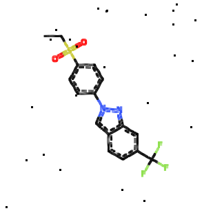 CCS(=O)(=O)c1ccc(-n2cc3ccc(C(F)(F)F)cc3n2)cc1